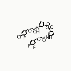 O=C(CNc1cccc(C(=O)OC(=O)c2cccc(NCC(=O)COCc3ccc(Cl)c(F)c3)c2)c1)COCc1ccc(F)c(F)c1